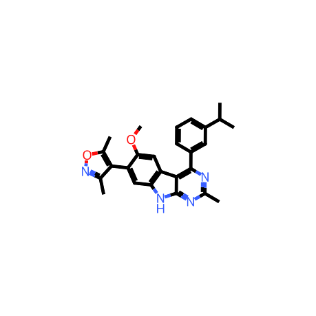 COc1cc2c(cc1-c1c(C)noc1C)[nH]c1nc(C)nc(-c3cccc(C(C)C)c3)c12